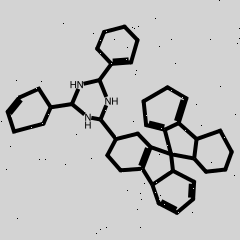 C1=CC2C3=C(CC(C4NC(C5=CCCCC5)NC(C5CC=CCC5)N4)CC3)C3(C4=CCCC=C4C4CCCCC43)C2C=C1